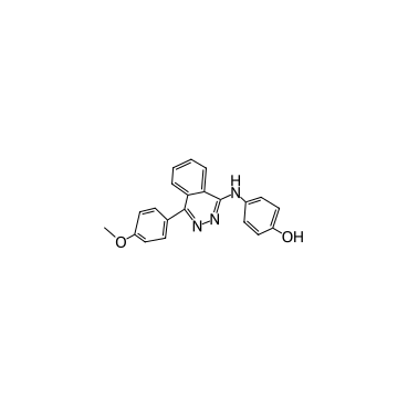 COc1ccc(-c2nnc(Nc3ccc(O)cc3)c3ccccc23)cc1